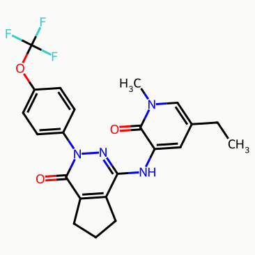 CCc1cc(Nc2nn(-c3ccc(OC(F)(F)F)cc3)c(=O)c3c2CCC3)c(=O)n(C)c1